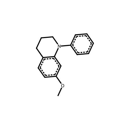 COc1ccc2c(c1)N(c1ccccc1)CCC2